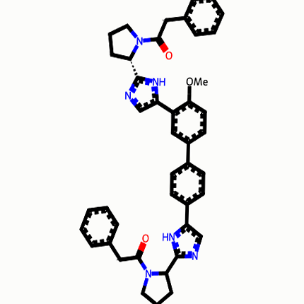 COc1ccc(-c2ccc(-c3cnc(C4CCCN4C(=O)[CH]c4ccccc4)[nH]3)cc2)cc1-c1cnc([C@@H]2CCCN2C(=O)[CH]c2ccccc2)[nH]1